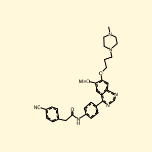 COc1cc2c(-c3ccc(NC(=O)Cc4ccc(C#N)cc4)cc3)ncnc2cc1OCCCN1CCN(C)CC1